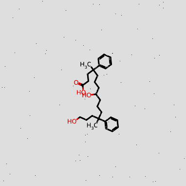 CC(CCCO)(CCCC(O)CCCC(C)(CCC(=O)O)c1ccccc1)c1ccccc1